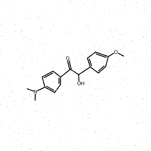 COc1ccc(C(O)C(=O)c2ccc(N(C)C)cc2)cc1